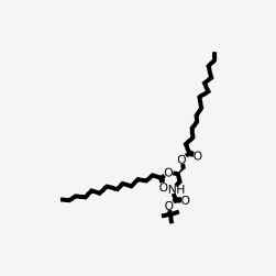 CCCCCCCCCCCCCC(=O)OC[C@@H](CNC(=O)OC(C)(C)C)OC(=O)CCCCCCCCCCCCC